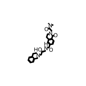 CN(C)C(=O)CN1CCc2cc(C(=O)NC[C@H](O)CN3CCc4ccccc4C3)ccc2C1=O